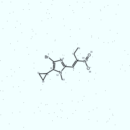 CC/C(=C\c1nc(Br)c(C2CC2)n1C)[N+](=O)[O-]